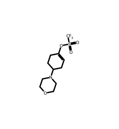 O=S(=O)(OC1=CCC(N2CCOCC2)CC1)C(F)(F)F